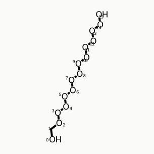 OCOOOOOOOOOOOOOO